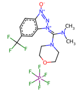 CN(C)C(N1CCOCC1)=[N+]1N=[N+]([O-])c2ccc(C(F)(F)F)cc21.F[P-](F)(F)(F)(F)F